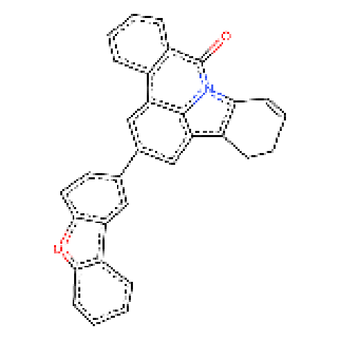 O=c1c2ccccc2c2cc(-c3ccc4oc5ccccc5c4c3)cc3c4c(n1c32)C=CCC4